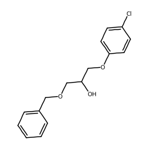 OC(COCc1ccccc1)COc1ccc(Cl)cc1